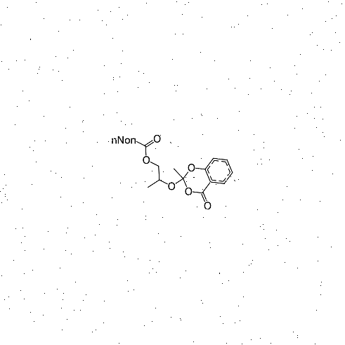 CCCCCCCCCC(=O)OCC(C)OC1(C)OC(=O)c2ccccc2O1